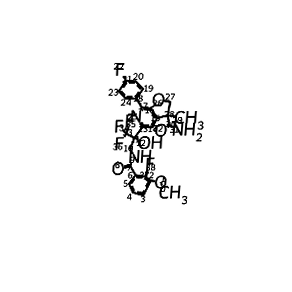 COc1cccc(C(=O)NCC(O)(c2cc3c(c(-c4ccc(F)cc4)n2)OC[C@]3(C)C(N)=O)C(F)(F)F)c1F